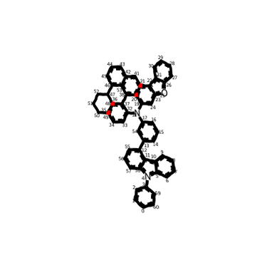 c1ccc(-n2c3ccccc3c3c(-c4cccc(N(c5ccc6c(c5)oc5ccccc56)c5ccccc5-c5cccc6cccc(C7CCCCC7)c56)c4)cccc32)cc1